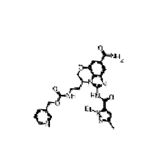 CCn1nc(C)cc1C(=O)Nc1nc2cc(C(N)=O)cc3c2n1[C@@H](CCNC(=O)OCc1cccnc1)CO3